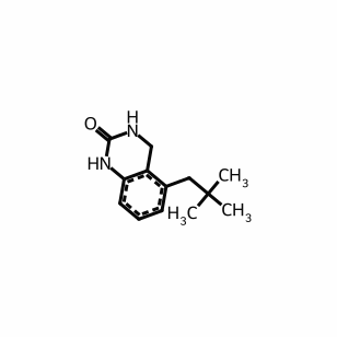 CC(C)(C)Cc1cccc2c1CNC(=O)N2